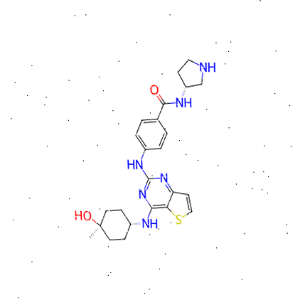 C[C@]1(O)CC[C@H](Nc2nc(Nc3ccc(C(=O)N[C@@H]4CCNC4)cc3)nc3ccsc23)CC1